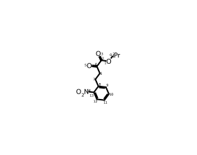 CC(C)OC(=O)C(=O)CCc1ccccc1[N+](=O)[O-]